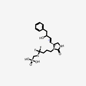 O=C1NC[C@H](/C=C/C(O)Cc2ccccc2)N1CCCC(F)(F)SCP(=O)(O)O